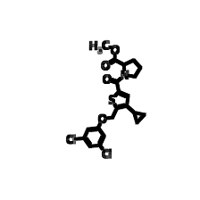 COC(=O)C1CCCN1C(=O)c1cc(C2CC2)c(COc2cc(Cl)cc(Cl)c2)s1